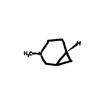 CN1CC[C@H]2CC2C1